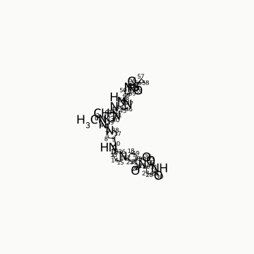 CC(C)n1nc(N2CCC(CN[C@H]3CCCN(c4ccc5c(c4)C(=O)N(C4CCC(=O)NC4=O)C5=O)C3)CC2)c2cnc(Nc3ccnc(-c4cnn(S(=O)(=O)C5CC5)c4)n3)cc21